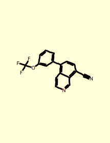 N#Cc1ccc(-c2cccc(OC(F)(F)F)c2)c2ccncc12